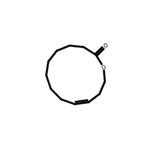 O=C1CCCCCCC/C=C\CCO1